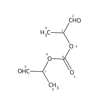 CC(C=O)OC(=O)OC(C)C=O